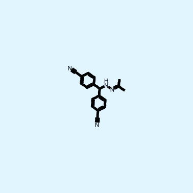 CC(C)=NNC(c1ccc(C#N)cc1)c1ccc(C#N)cc1